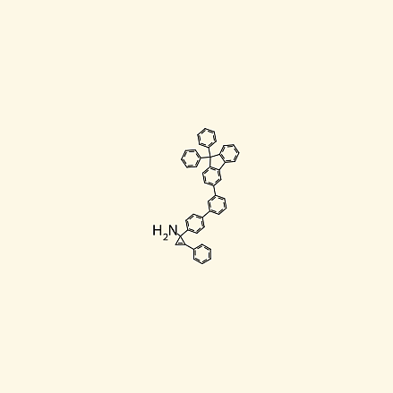 NC1(c2ccc(-c3cccc(-c4ccc5c(c4)-c4ccccc4C5(c4ccccc4)c4ccccc4)c3)cc2)C=C1c1ccccc1